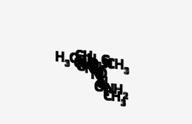 CCC(N)c1nc(-c2nc(-c3nc(C(=O)OC(C)(C)C)co3)c(CCN(C)C)o2)co1